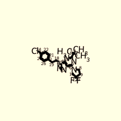 CC(C)(C)c1nc(N2CCC(F)(F)C2)c2nnn(CCc3ccc(Cl)cc3)c2n1